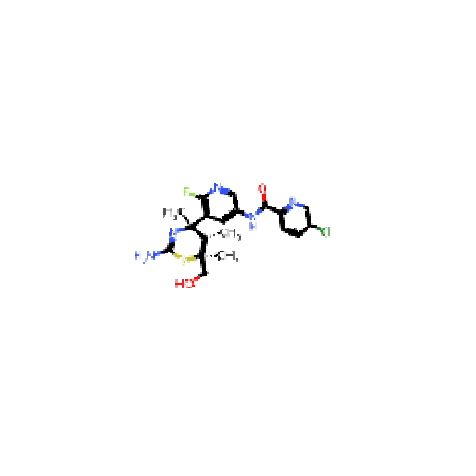 C[C@@H]1[C@@](C)(CO)SC(N)=N[C@]1(C)c1cc(NC(=O)c2ccc(Cl)cn2)cnc1F